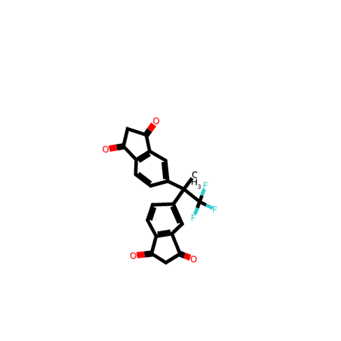 CC(c1ccc2c(c1)C(=O)CC2=O)(c1ccc2c(c1)C(=O)CC2=O)C(F)(F)F